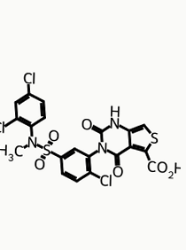 CN(c1ccc(Cl)cc1Cl)S(=O)(=O)c1ccc(Cl)c(-n2c(=O)[nH]c3csc(C(=O)O)c3c2=O)c1